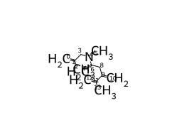 C=C(C)CN(C)C(=C)CC(=C)C(=C)C